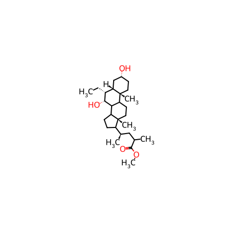 CC[C@H]1[C@@H](O)C2C3CCC([C@H](C)CC(C)C(=O)OC)[C@@]3(C)CCC2[C@@]2(C)CC[C@@H](O)C[C@@H]12